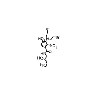 O=C(NCC(O)CO)c1ccc([N+](=O)[O-])c(N(CCBr)CCBr)c1[N+](=O)[O-]